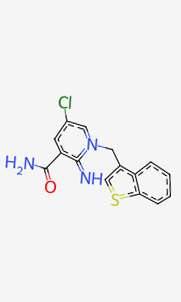 N=c1c(C(N)=O)cc(Cl)cn1Cc1csc2ccccc12